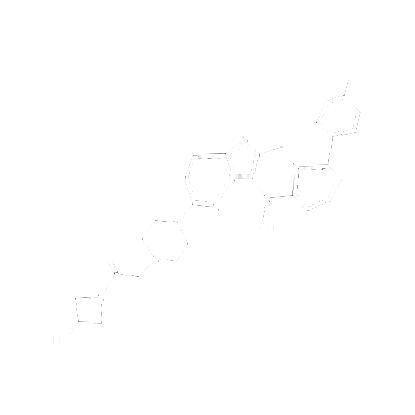 CCc1nc2ccc(C3CCN(CC(=O)N4CC(O)C4)CC3)nn2c1N(C)c1cccc(-c2ccc(F)cc2)n1